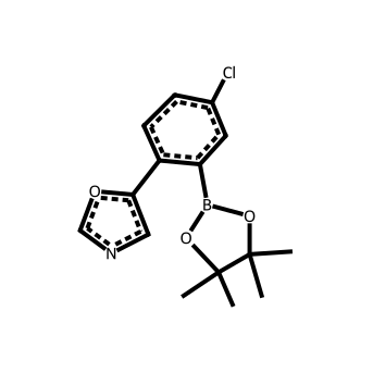 CC1(C)OB(c2cc(Cl)ccc2-c2cnco2)OC1(C)C